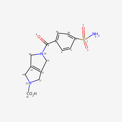 NS(=O)(=O)c1ccc(C(=O)N2CC3=C(CN(C(=O)O)C3)C2)cc1